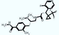 CNC(=O)c1ccc(C[C@@H](CNC(=O)C[C@H](c2ccncc2F)C2(C(F)(F)F)CC2)N(C)C)c(C)c1